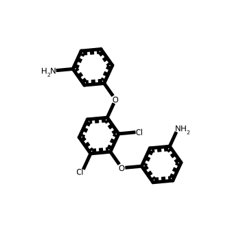 Nc1cccc(Oc2ccc(Cl)c(Oc3cccc(N)c3)c2Cl)c1